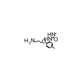 CNC(=O)Nc1cc(C)ccc1OCCCN